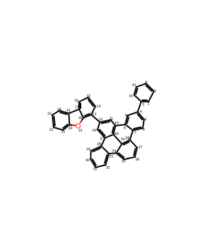 c1ccc(-c2ccc3c(c2)c2cc(-c4cccc5c4oc4ccccc45)cc4c5ccccc5c5cccc3c5c42)cc1